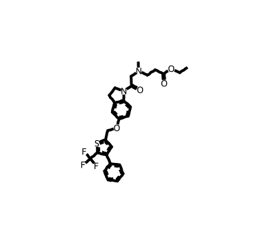 CCOC(=O)CCN(C)CC(=O)N1CCc2cc(OCc3cc(-c4ccccc4)c(C(F)(F)F)s3)ccc21